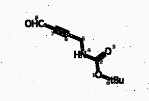 CC(C)(C)OC(=O)NCC#CC=O